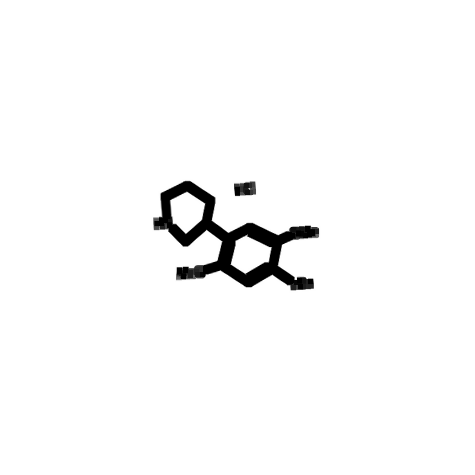 CCCCc1cc(OC)c(C2CCCNC2)cc1OC.Cl